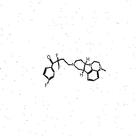 CN1CCN2c3c(cccc31)[C@@H]1CN(CCC(F)(F)C(=O)c3ccc(F)cc3)CC[C@@H]12